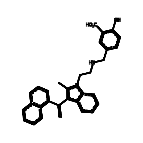 Cc1c(C(=O)c2cccc3ccccc23)c2ccccc2n1CCNCc1ccc(O)c(C(=O)O)c1